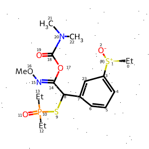 CC[S@+]([O-])c1cccc(C(SP(=O)(CC)CC)C(=NOC)OC(=O)N(C)C)c1